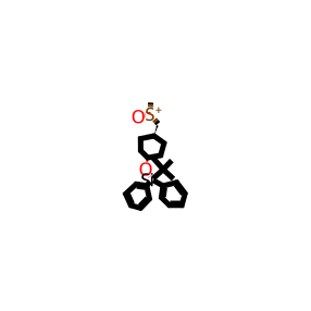 C[S+]([O-])C[C@H]1CC[C@@H](O[Si](c2ccccc2)(c2ccccc2)C(C)(C)C)CC1